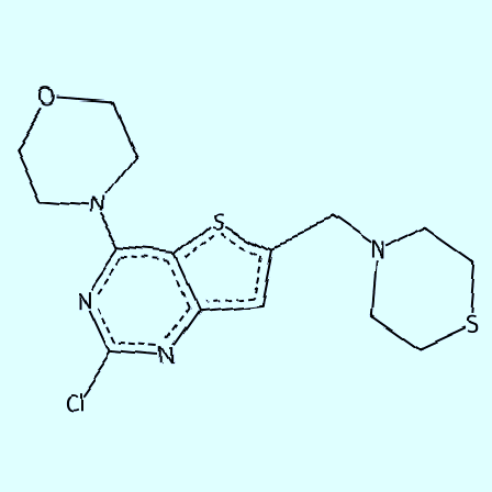 Clc1nc(N2CCOCC2)c2sc(CN3CCSCC3)cc2n1